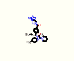 CCC1CCCCN1C1=NC2(CCC(C(C)(C)C)CC2)N([C@H](CCC(C)(C)C)c2ccc(C(=O)NCc3nn[nH]n3)cc2)C1=O